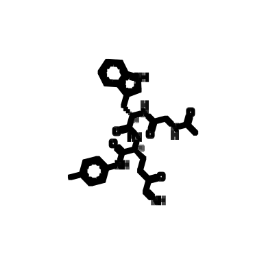 CC(=O)NCC(=O)N[C@@H](Cc1c[nH]c2ccccc12)C(=O)N[C@@H](CCC(=O)C=N)C(=O)Nc1ccc(C)cc1